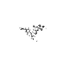 COc1ccc2c3c(cnc2n1)N(CC(F)(F)F)CC(=O)N3Cc1c(F)cc(S(N)(=O)=O)cc1F